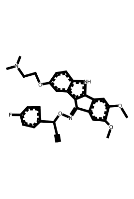 C#CC(ON=C1c2cc(OC)c(OC)cc2-c2[nH]c3ccc(OCCN(C)C)cc3c21)c1ccc(F)cc1